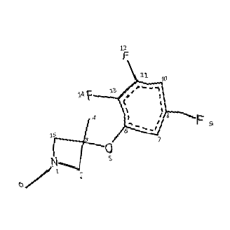 CN1CC(C)(Oc2cc(F)cc(F)c2F)C1